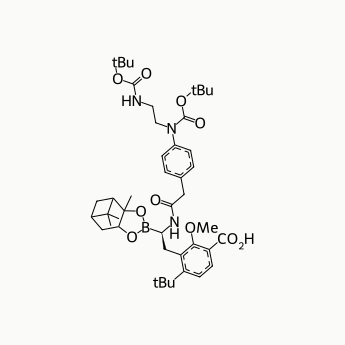 COc1c(C(=O)O)ccc(C(C)(C)C)c1C[C@H](NC(=O)Cc1ccc(N(CCNC(=O)OC(C)(C)C)C(=O)OC(C)(C)C)cc1)B1OC2CC3CC(C3(C)C)C2(C)O1